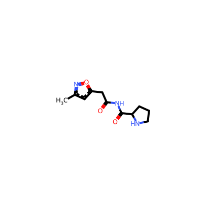 Cc1cc(CC(=O)NC(=O)C2CCCN2)on1